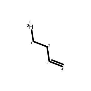 [2H]CCC=C